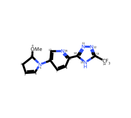 COC1CC=CN1c1ccc(-c2nnc(C(F)(F)F)[nH]2)nc1